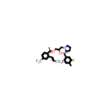 CCOC(=O)/C=C/c1cc(C(F)(F)F)ccc1[C@@H](C)OC[C@H](O)CN1CCC[C@H]1Cc1ccc(C)c(F)c1